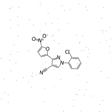 N#Cc1cn(-c2ccccc2Cl)nc1-c1ccc([N+](=O)[O-])o1